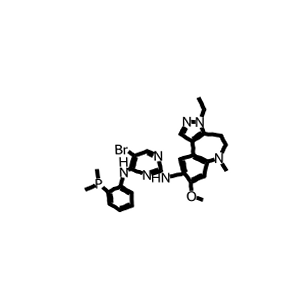 CCn1ncc2c1CCN(C)c1cc(OC)c(Nc3ncc(Br)c(Nc4ccccc4P(C)C)n3)cc1-2